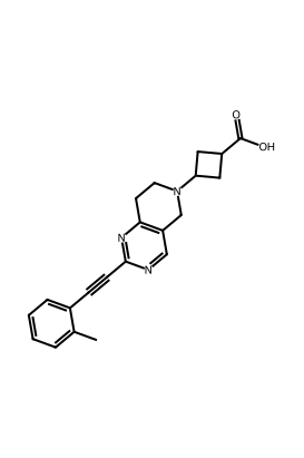 Cc1ccccc1C#Cc1ncc2c(n1)CCN(C1CC(C(=O)O)C1)C2